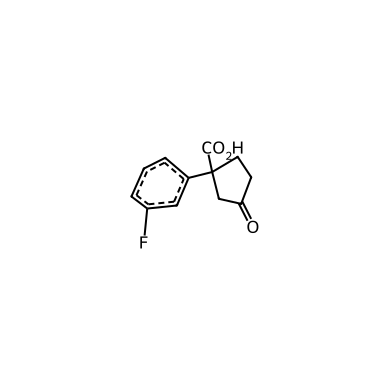 O=C1CCC(C(=O)O)(c2cccc(F)c2)C1